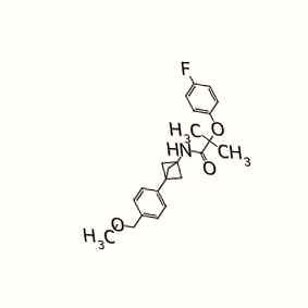 COCc1ccc(C23CC(NC(=O)C(C)(C)Oc4ccc(F)cc4)(C2)C3)cc1